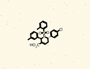 Cc1cccc(C2C(C(=O)O)=CC[C@@H](c3ccc(Cl)cc3)N2S(=O)(=O)c2ccccc2C)c1